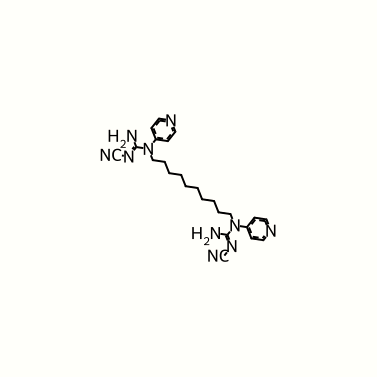 N#CN=C(N)N(CCCCCCCCCCN(C(N)=NC#N)c1ccncc1)c1ccncc1